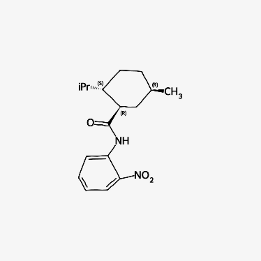 CC(C)[C@@H]1CC[C@@H](C)C[C@H]1C(=O)Nc1ccccc1[N+](=O)[O-]